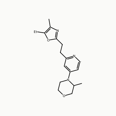 CCc1oc(CCc2cc(N3CCOCC3C)c[c]n2)nc1C